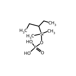 CCC(CC)[Si](C)(C)OP(=O)(O)O